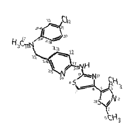 Cc1nc(C)c(-c2csc(Nc3ccc(CN(C)c4ccc(Cl)cc4)cn3)n2)s1